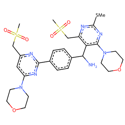 CSc1nc(CS(C)(=O)=O)c(C(N)c2ccc(-c3nc(CS(C)(=O)=O)cc(N4CCOCC4)n3)cc2)c(N2CCOCC2)n1